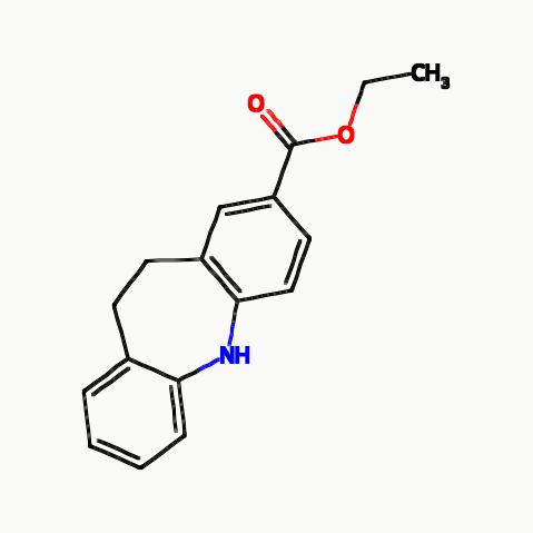 CCOC(=O)c1ccc2c(c1)CCc1ccccc1N2